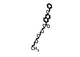 CCCCOCCOCCOCCOC(=O)c1ccc2cc(OCc3ccccc3)ccc2c1